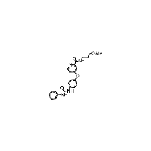 COCCCNC(=O)c1cc(Oc2ccc(NC(=O)Nc3ccccc3)cc2)ccn1